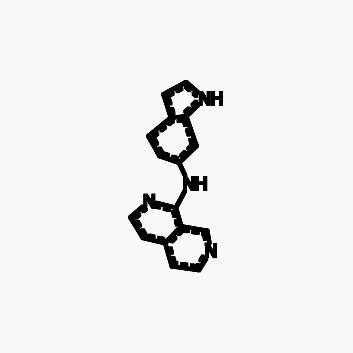 c1cc2ccnc(Nc3ccc4cc[nH]c4c3)c2cn1